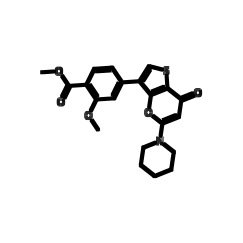 COC(=O)c1ccc(-c2csc3c(=O)cc(N4CCCCC4)oc23)cc1OC